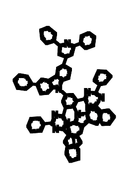 c1ccc(-c2ccc3c(c2)c2cc(-c4cc(-c5ccccc5)nc(-c5ccccc5)c4)ccc2n3-c2cc(-c3nc(-c4ccccc4)nc(-c4ccccc4)n3)c(-n3c4ccccc4c4cc(-c5ccccc5)ccc43)c(-c3nc(-c4ccccc4)nc(-c4ccccc4)n3)c2)cc1